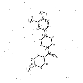 Cc1ccc(N2CCN(C(=O)N3CCN(C)CC3)CC2)cc1C